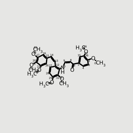 COc1ccc(C(=O)/C=C\Nc2c(/C=C\c3cc(OC)c(OC)c(OC)c3)ccc(OC)c2OC)cc1OC